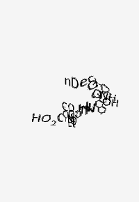 CCCCCCCCCCCC(=O)c1ccc(C)c(NC(=O)c2cc(N=Nc3ccc(S(=O)(=O)N(CC)c4cc(C(=O)O)cc(C(=O)O)c4C)cc3)c3ccccc3c2O)c1